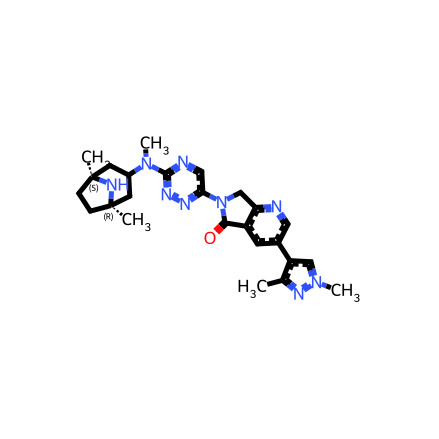 Cc1nn(C)cc1-c1cnc2c(c1)C(=O)N(c1cnc(N(C)C3C[C@]4(C)CC[C@](C)(C3)N4)nn1)C2